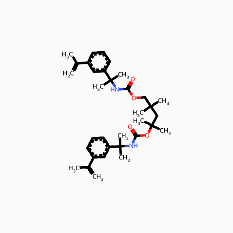 C=C(C)c1cccc(C(C)(C)NC(=O)OCC(C)(C)CC(C)(C)OC(=O)NC(C)(C)c2cccc(C(=C)C)c2)c1